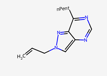 C=CCn1cc2ncnc(CCCCC)c2n1